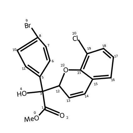 COC(=O)C(O)(c1ccc(Br)cc1)C1C=Cc2cccc(Cl)c2O1